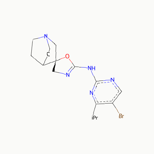 CC(C)c1nc(NC2=NC[C@@]3(CN4CCC3CC4)O2)ncc1Br